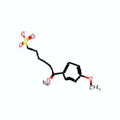 COc1ccc(C(=O)CCCCS(=O)(=O)[O-])cc1.[Na+]